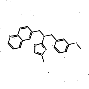 COc1cccc(CN(Cc2ccc3ncccc3c2)c2nc(C)cs2)c1